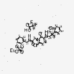 CCOS(=O)(=O)Oc1ccccc1CNC(=O)Cn1c(Cl)cnc(NCC(F)(F)c2cccc[n+]2[O-])c1=O.O=C(O)C(F)(F)F